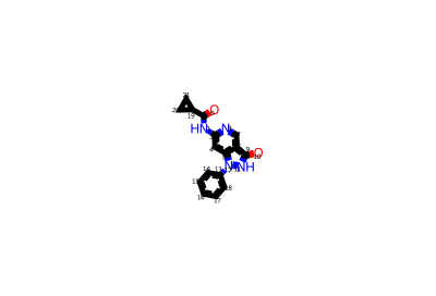 O=C(Nc1cc2c(cn1)c(=O)[nH]n2-c1ccccc1)C1CC1